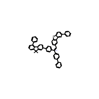 CC1(C)c2cc(-c3ccc(/C(=C\c4ccc5sc6ccc(-c7ccccc7)cc6c5c4)c4ccc(-c5ccccc5)cc4)cc3)ccc2-c2c(-c3ccccc3)cccc21